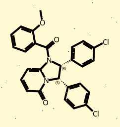 COc1ccccc1C(=O)N1c2cccc(=O)n2[C@@H](c2ccc(Cl)cc2)[C@H]1c1ccc(Cl)cc1